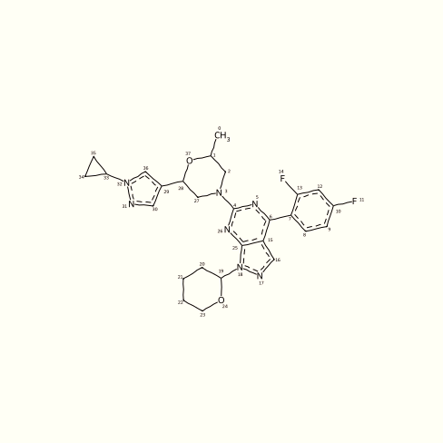 CC1CN(c2nc(-c3ccc(F)cc3F)c3cnn(C4CCCCO4)c3n2)CC(c2cnn(C3CC3)c2)O1